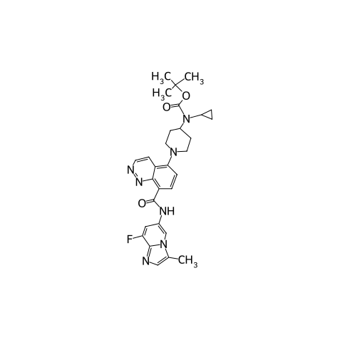 Cc1cnc2c(F)cc(NC(=O)c3ccc(N4CCC(N(C(=O)OC(C)(C)C)C5CC5)CC4)c4ccnnc34)cn12